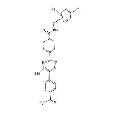 NC(=O)c1ccc(-c2cnc(N3CCC(C(=O)NCc4ccc(Cl)cc4Cl)CC3)nc2N)cc1